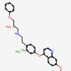 CCOC(=O)COc1ccc2c(Oc3ccc(CCNC[C@H](O)COc4ccccc4)cc3)ccnc2c1.Cl.Cl